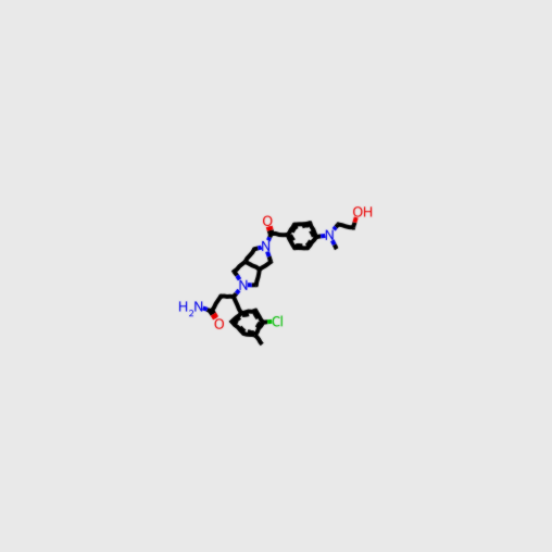 Cc1ccc(C(CC(N)=O)N2CC3CN(C(=O)c4ccc(N(C)CCO)cc4)CC3C2)cc1Cl